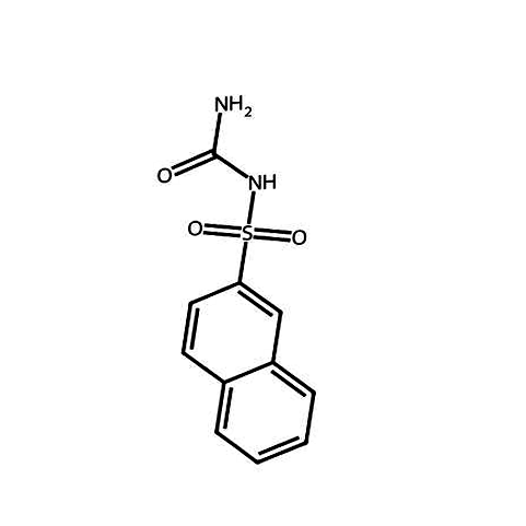 NC(=O)NS(=O)(=O)c1ccc2ccccc2c1